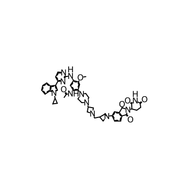 COc1cc(N2CCN(C3CN(CC4CN(c5ccc6c(c5)C(=O)N(C5CCC(=O)NC5=O)C6=O)C4)C3)CC2)c(NC(C)=O)cc1Nc1nccc(-c2cn(C3CC3)c3ccccc23)n1